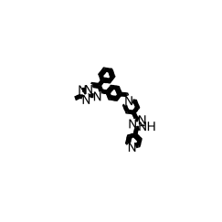 Cc1nc2nc(-c3ccc(CN4CCC(c5n[nH]c(-c6ccncc6)n5)CC4)cc3)c(-c3ccccc3)cn2n1